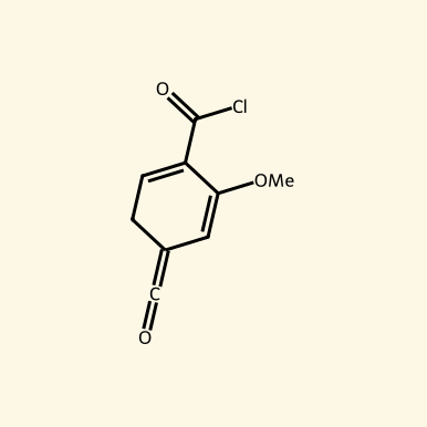 COC1=CC(=C=O)CC=C1C(=O)Cl